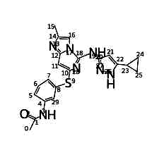 CC(=O)Nc1cccc(Sc2cc3nc(C)cn3c(Nc3cc(C4CC4)[nH]n3)n2)c1